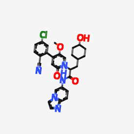 COc1cn(C(CC2CCC(O)CC2)C(=O)Nc2ccc3nccn3c2)c(=O)cc1-c1cc(Cl)ccc1C#N